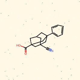 N#CC12CC3CC(C(=O)O)(C1)CC(c1ccccc1)(C3)C2